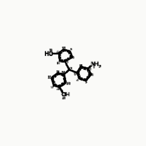 Nc1cccc(C(c2cccc(O)c2)c2cccc(O)c2)c1